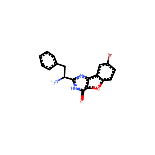 NC(Cc1ccccc1)c1nc2c(oc3ccc(Br)cc32)c(=O)[nH]1